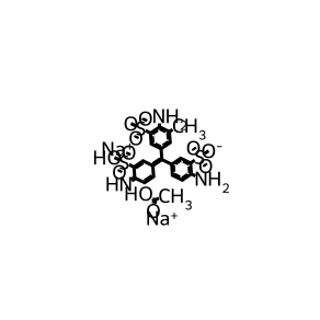 CC(=O)O.Cc1cc(/C(=C2/C=CC(=N)C(S(=O)(=O)O)=C2)c2ccc(N)c(S(=O)(=O)[O-])c2)cc(S(=O)(=O)[O-])c1N.[Na+].[Na+]